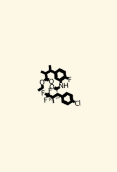 CCOC(=O)C(C)C(C)c1ccc(F)c(NC(=O)[C@H](c2ccc(Cl)cc2)[C@@H](C)C(F)(F)F)c1